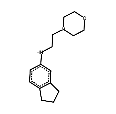 c1cc2c(cc1NCCN1CCOCC1)CCC2